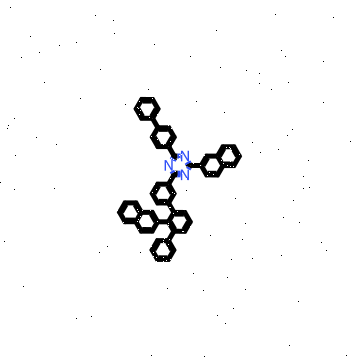 c1ccc(-c2ccc(-c3nc(-c4cccc(-c5cccc(-c6ccccc6)c5-c5ccc6ccccc6c5)c4)nc(-c4ccc5ccccc5c4)n3)cc2)cc1